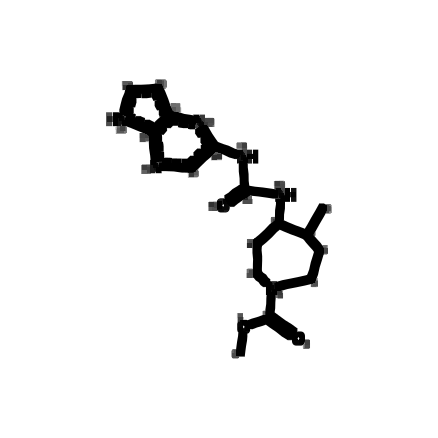 COC(=O)N1CCC(C)C(NC(=O)Nc2cnc3[nH]ccc3n2)CC1